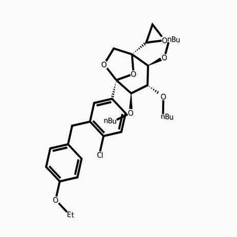 CCCCO[C@@H]1[C@@H](OCCCC)[C@@]2(c3ccc(Cl)c(Cc4ccc(OCC)cc4)c3)OC[C@](C3CO3)(O2)[C@H]1OCCCC